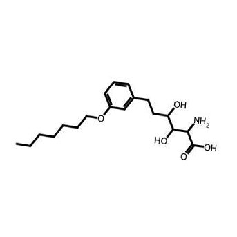 CCCCCCCOc1cccc(CCC(O)C(O)C(N)C(=O)O)c1